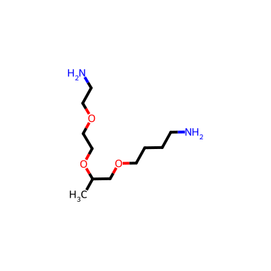 CC(COCCCCN)OCCOCCN